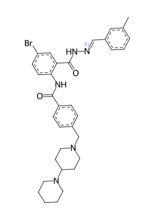 Cc1cccc(/C=N/NC(=O)c2cc(Br)ccc2NC(=O)c2ccc(CN3CCC(N4CCCCC4)CC3)cc2)c1